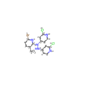 O=[N+]([O-])c1ccc(Br)nc1N(Nc1ccnc(Cl)c1)c1ccnc(Cl)c1